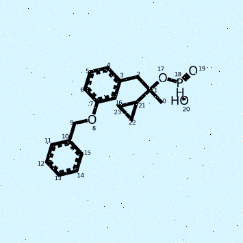 CC(Cc1cccc(OCc2ccccc2)c1)(O[PH](=O)O)C1CC1